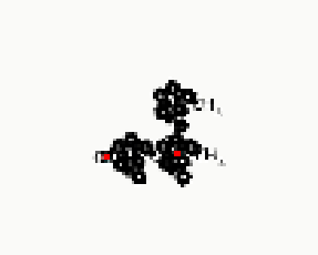 Cc1ccc2c(c1)[C]([Zr][C]1=C3C=CC=CC3c3ccc4c(c31)[P+](c1ccccc1)(c1ccccc1)C4)=C1C=CC=CC12.Cc1ccc2c(c1)[C]([Zr][C]1=C3C=CC=CC3c3ccc4c(c31)[P+](c1ccccc1)(c1ccccc1)C4)=C1C=CC=CC12.Cc1ccc2c(c1)[C]([Zr][C]1=C3C=CC=CC3c3ccc4c(c31)[P+](c1ccccc1)(c1ccccc1)C4)=C1C=CC=CC12.[Cl-].[Cl-].[I-]